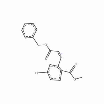 COC(=O)c1ccc(Cl)cc1/N=C\C(=O)OCc1ccccc1